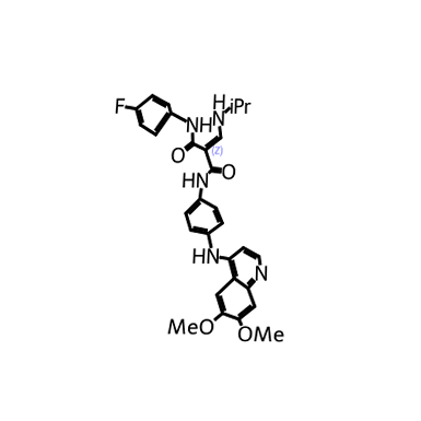 COc1cc2nccc(Nc3ccc(NC(=O)/C(=C/NC(C)C)C(=O)Nc4ccc(F)cc4)cc3)c2cc1OC